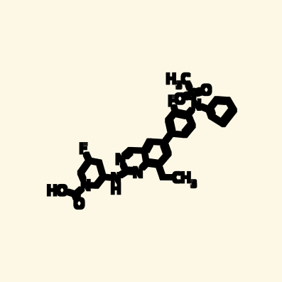 CCc1cc(-c2ccc(N(c3ccccc3)S(C)(=O)=O)c(F)c2)cc2cnc(NC3CC(F)CN(C(=O)O)C3)nc12